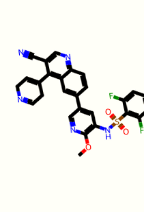 COc1ncc(-c2ccc3ncc(C#N)c(C4=CCN=CC4)c3c2)cc1NS(=O)(=O)c1c(F)cccc1F